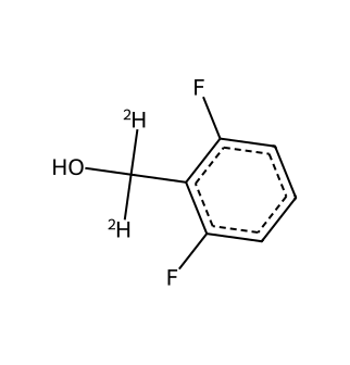 [2H]C([2H])(O)c1c(F)cccc1F